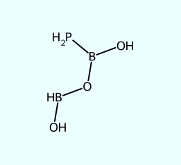 OBOB(O)P